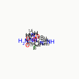 CC(C)(C)OC(=O)N1[C@@H]2CC[C@@H](C2)[C@H]1C(=O)N[C@@H](Cc1ccc(N2CC3CNCC3C2)cc1F)C(N)=O